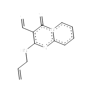 C=CCNc1nc2ccccn2c(=O)c1C=O